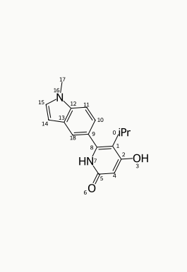 CC(C)c1c(O)cc(=O)[nH]c1-c1ccc2c(ccn2C)c1